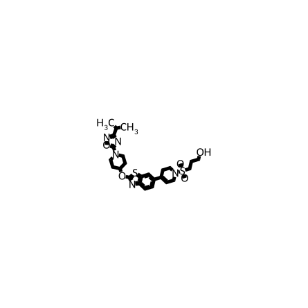 CC(C)c1noc(N2CCC(Oc3nc4ccc(C5=CCN(S(=O)(=O)CCCO)CC5)cc4s3)CC2)n1